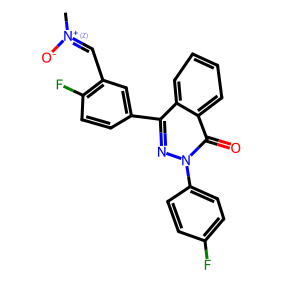 C/[N+]([O-])=C/c1cc(-c2nn(-c3ccc(F)cc3)c(=O)c3ccccc23)ccc1F